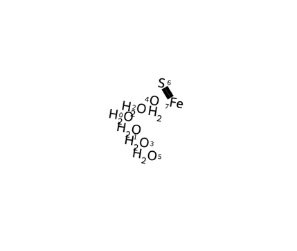 O.O.O.O.O.O.[S]=[Fe]